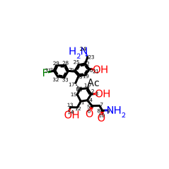 CC(=O)C1=C(O)C(C(=O)CC(N)=O)C(CCO)C[C@@H]1Cc1cc(O)c(CN)cc1-c1ccc(F)cc1